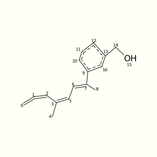 C=C=C/C(C)=C\C=C(/C)c1cccc(CO)c1